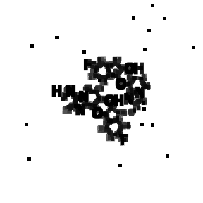 Cc1cn2cccc(OC3c4ccc(F)cc4CC3O)c2n1.Cc1nc2c(OC3c4ccc(F)cc4CC3O)cccn2c1N